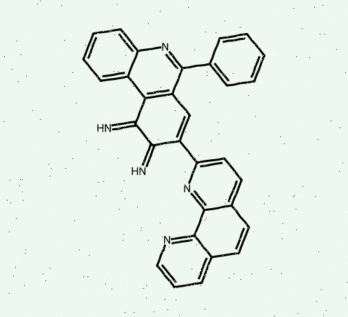 N=C1C(=N)c2c(c(-c3ccccc3)nc3ccccc23)C=C1c1ccc2ccc3cccnc3c2n1